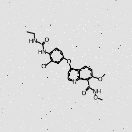 CCNC(=O)Nc1ccc(Oc2ccnc3c(C(=O)NOC)c(OC)ccc23)cc1Cl